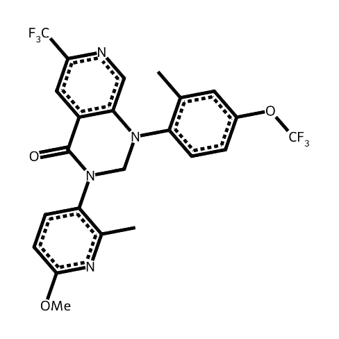 COc1ccc(N2CN(c3ccc(OC(F)(F)F)cc3C)c3cnc(C(F)(F)F)cc3C2=O)c(C)n1